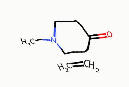 C=C.CN1CCC(=O)CC1